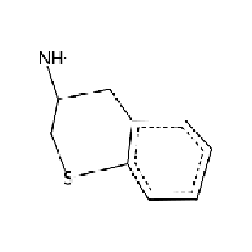 [NH]C1CSc2ccccc2C1